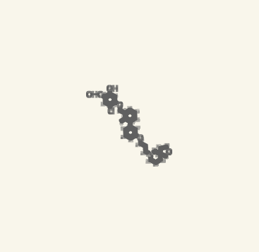 Cc1c(COc2cc(O)c(C=O)cc2Cl)cccc1-c1cccc(OCCCN2CCCC3(CCOC3)C2)c1